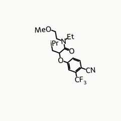 CCN(CCOC)C(=O)C(CC(C)C)Oc1ccc(C#N)c(C(F)(F)F)c1